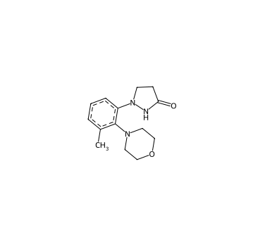 Cc1cccc(N2CCC(=O)N2)c1N1CCOCC1